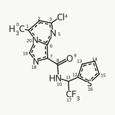 Cc1cc(Cl)nc2c(C(=O)NC(c3cccs3)C(F)(F)F)ncn12